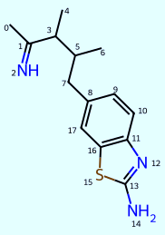 CC(=N)C(C)C(C)Cc1ccc2nc(N)sc2c1